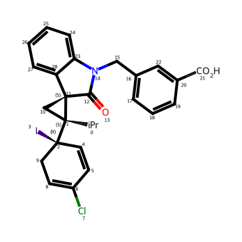 CC(C)[C@@]1([C@]2(I)C=CC(Cl)=CC2)C[C@@]12C(=O)N(Cc1cccc(C(=O)O)c1)c1ccccc12